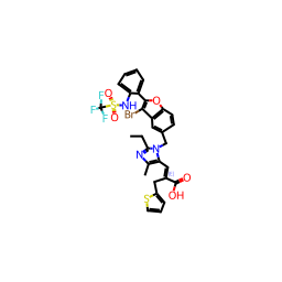 CCc1nc(C)c(/C=C(\Cc2cccs2)C(=O)O)n1Cc1ccc2oc(-c3ccccc3NS(=O)(=O)C(F)(F)F)c(Br)c2c1